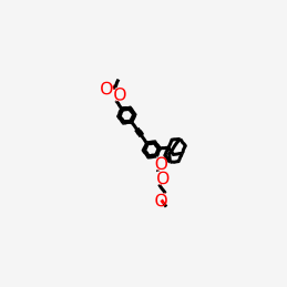 COCCOCOc1ccc(C#Cc2ccc(COC(C)=O)cc2)cc1C12CC3CC(CC(C3)C1)C2